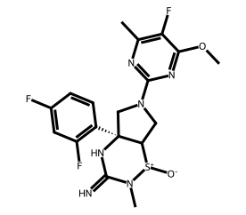 COc1nc(N2CC3[S+]([O-])N(C)C(=N)N[C@@]3(c3ccc(F)cc3F)C2)nc(C)c1F